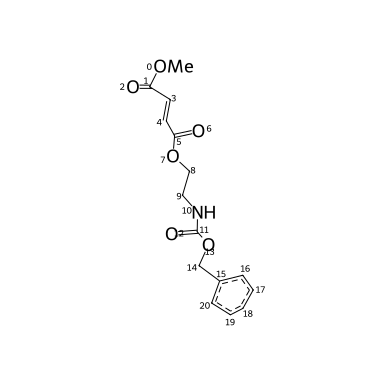 COC(=O)/C=C/C(=O)OCCNC(=O)OCc1ccccc1